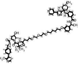 Cc1ncsc1-c1ccc(CNC(=O)[C@@H]2C[C@@H](O)CN2C(=O)C(NC(=O)CCCOCCOCCOCCCCCCOc2cccc([C@@H](C)NC(=O)c3cccc(NC4(c5nnc(-c6ccncc6)[nH]5)CCN(C)CC4)c3)c2)C(C)(C)C)cc1